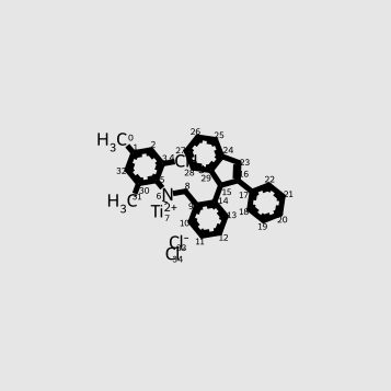 Cc1cc(C)c([N]([Ti+2])Cc2ccccc2C2C(c3ccccc3)=Cc3ccccc32)c(C)c1.[Cl-].[Cl-]